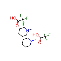 CN1CCCCC1.CN1CCCCC1.O=C(O)C(F)(F)F.O=C(O)C(F)(F)F